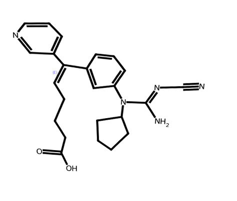 N#CN=C(N)N(c1cccc(/C(=C\CCCC(=O)O)c2cccnc2)c1)C1CCCC1